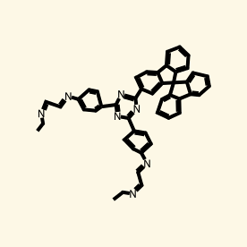 CC/N=C\C=N\c1ccc(-c2nc(-c3ccc(/N=C/C=N\CC)cc3)nc(-c3ccc4c(c3)C3(c5ccccc5-c5ccccc53)c3ccccc3-4)n2)cc1